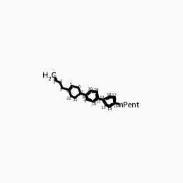 C=CCCC1=CCC(c2ccc(-c3ccc(CCCCC)cc3)cc2)CC1